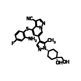 Cc1c(-c2cc(Sc3ccc(F)cc3N)c3c(C#N)cnn3c2)cnn1[C@H]1CC[C@](O)(CO)CC1